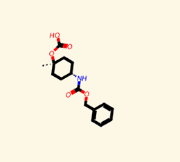 C[C@]1(OC(=O)O)CC[C@H](NC(=O)OCc2ccccc2)CC1